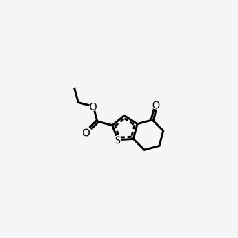 CCOC(=O)c1cc2c(s1)CCCC2=O